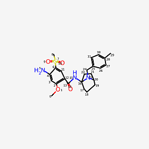 COc1cc(N)c(S(C)(=O)=O)cc1C(=O)NC12CCCC(CC1)N2Cc1ccc(C)cc1